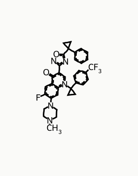 CN1CCN(c2cc3c(cc2F)c(=O)c(-c2noc(C4(c5ccccc5)CC4)n2)cn3C2(c3ccc(C(F)(F)F)cc3)CC2)CC1